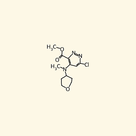 COC(=O)c1nnc(Cl)cc1N(C)C1CCOCC1